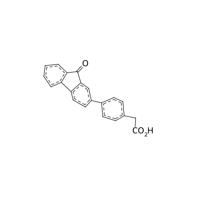 O=C(O)Cc1ccc(-c2ccc3c(c2)C(=O)c2ccccc2-3)cc1